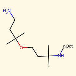 CCCCCCCCNC(C)(C)CCOC(C)(C)CCN